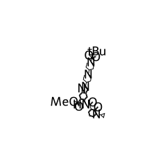 COC(=O)c1cc2nn(C3CCN(C4CCN(C(=O)OC(C)(C)C)CC4)CC3)cc2cc1NC(=O)c1cccn(C2CC2)c1=O